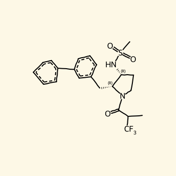 CC(C(=O)N1CC[C@@H](NS(C)(=O)=O)[C@H]1Cc1cccc(-c2ccccc2)c1)C(F)(F)F